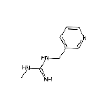 CNC(=N)NCc1cccnc1